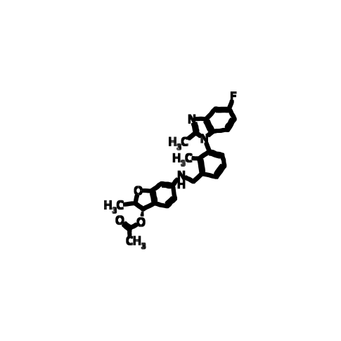 CC(=O)O[C@H]1c2ccc(NCc3cccc(-n4c(C)nc5cc(F)ccc54)c3C)cc2OC1C